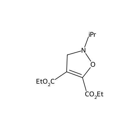 CCOC(=O)C1=C(C(=O)OCC)ON(C(C)C)C1